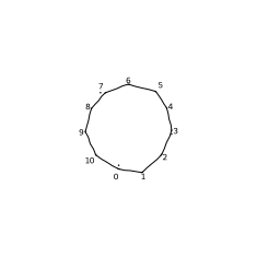 [CH]1CC[CH]CCC[CH]CCC1